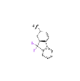 CC1C=CC2=C(C1)C(I)(I)c1ccccc12